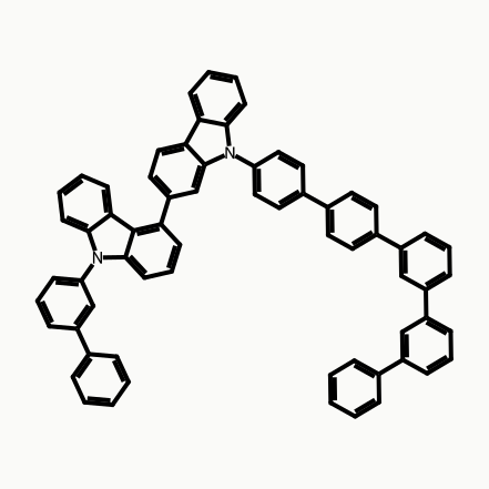 c1ccc(-c2cccc(-c3cccc(-c4ccc(-c5ccc(-n6c7ccccc7c7ccc(-c8cccc9c8c8ccccc8n9-c8cccc(-c9ccccc9)c8)cc76)cc5)cc4)c3)c2)cc1